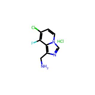 Cl.NCc1ncn2ccc(Cl)c(F)c12